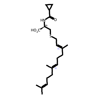 CC(C)=CCC/C(C)=C/CC/C(C)=C/CSC[C@H](NC(=O)C1CC1)C(=O)O